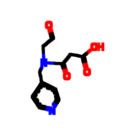 O=CCN(Cc1ccncc1)C(=O)CC(=O)O